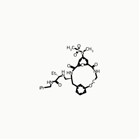 CC[C@H](NC[C@@H]1Cc2cccc(c2)OCCNC(=O)c2cc(cc(N(C)S(C)(=O)=O)c2)C(=O)N1)C(=O)NCC(C)C